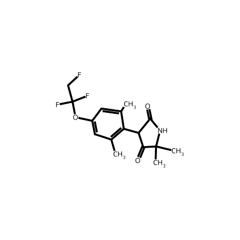 Cc1cc(OC(F)(F)CF)cc(C)c1C1C(=O)NC(C)(C)C1=O